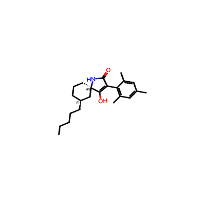 CCCCC[C@H]1CCC[C@]2(C1)NC(=O)C(c1c(C)cc(C)cc1C)=C2O